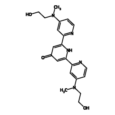 CN(CCO)c1ccnc(-c2cc(=O)cc(-c3cc(N(C)CCO)ccn3)[nH]2)c1